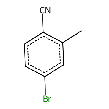 [CH2]c1cc(Br)ccc1C#N